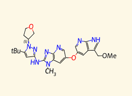 COCc1c[nH]c2ncc(Oc3cnc4nc(Nc5cc(C(C)(C)C)n([C@H]6CCOC6)n5)n(C)c4c3)cc12